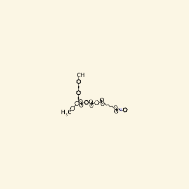 C#Cc1ccc(C#Cc2ccc(C#CC3(OC(=O)c4ccc(OC(=O)C5CCC(C(=O)OCCCCCCOC(=O)/C=C/c6ccccc6)CC5)cc4)CCC(C4CCC(C)CC4)CC3)cc2)cc1